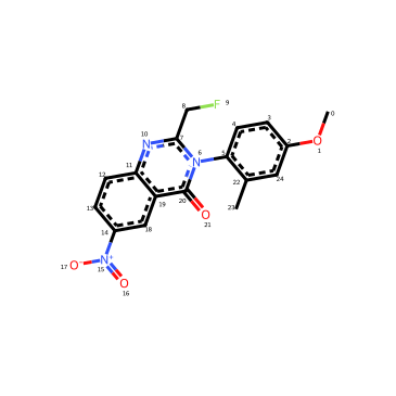 COc1ccc(-n2c(CF)nc3ccc([N+](=O)[O-])cc3c2=O)c(C)c1